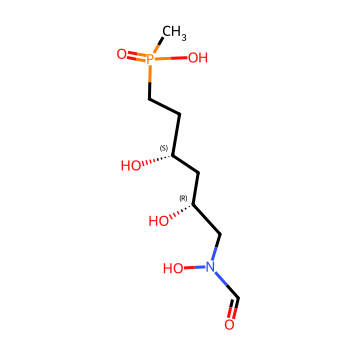 CP(=O)(O)CC[C@@H](O)C[C@@H](O)CN(O)C=O